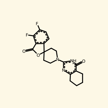 O=C1OC2(CCN(c3nc4c(c(=O)[nH]3)CCCC4)CC2)c2ccc(F)c(F)c21